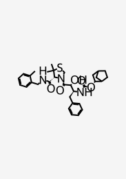 Cc1ccccc1CNC(=O)[C@H]1N(C(=O)[C@@H](O)[C@H](Cc2ccccc2)NC(=O)OC2CC3CCC2C3)CSC1(C)C